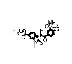 COC(=O)c1ccc2c(c1)[nH]c(=S)n2NC(=O)c1ccc(Cl)c(S(N)(=O)=O)c1